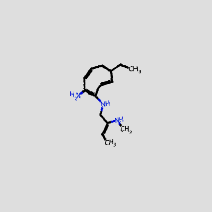 C/C=C(/CNC1=C(N)/C=C\CC(CC)\C=C\1)NC